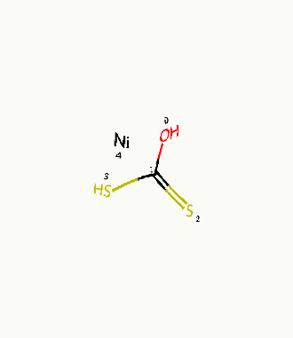 OC(=S)S.[Ni]